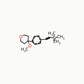 COC1(c2ccc(C#C[Si](C)(C)C)cc2)CCOCC1